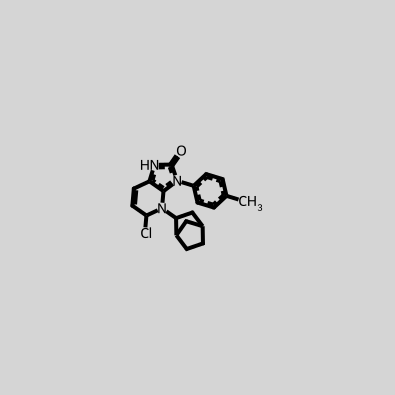 Cc1ccc(-n2c3c([nH]c2=O)C=CC(Cl)N3C2CC3CCC2C3)cc1